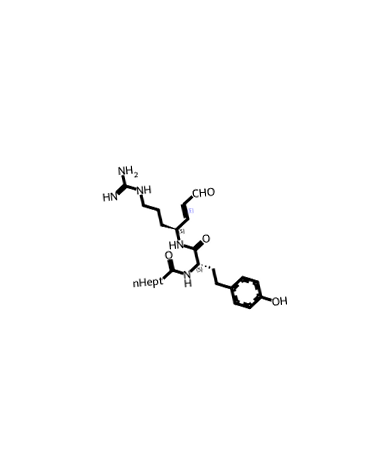 CCCCCCCC(=O)N[C@@H](CCc1ccc(O)cc1)C(=O)N[C@H](/C=C/C=O)CCCNC(=N)N